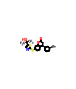 CC(C)c1cccc(-c2cc(=O)oc3cc(Sc4ncc(C(O)(C(F)(F)F)C(F)(F)F)s4)ccc23)c1